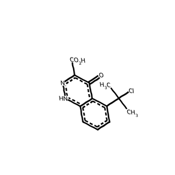 CC(C)(Cl)c1cccc2[nH]nc(C(=O)O)c(=O)c12